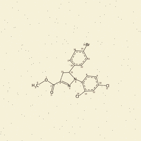 COC(=O)C1=NN(c2ccc(Cl)cc2Cl)C(c2ccc(Br)cc2)C1